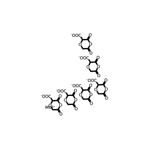 O=C1COC(C(=O)[O-])C(=O)O1.O=C1COC(C(=O)[O-])C(=O)O1.O=C1COC(C(=O)[O-])C(=O)O1.O=C1COC(C(=O)[O-])C(=O)O1.O=C1COC(C(=O)[O-])C(=O)O1.O=C1COC(C(=O)[O-])C(=O)O1.[Mo+6]